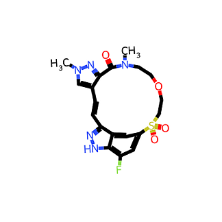 CN1CCOCCS(=O)(=O)c2cc(F)c3[nH]nc(c3c2)/C=C/c2cn(C)nc2C1=O